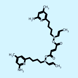 CC=CN(CCCCc1cc(C)cc(N)n1)OC(=O)/C=C/C(=O)ON(C=CC)CCCCc1cc(C)cc(N)n1